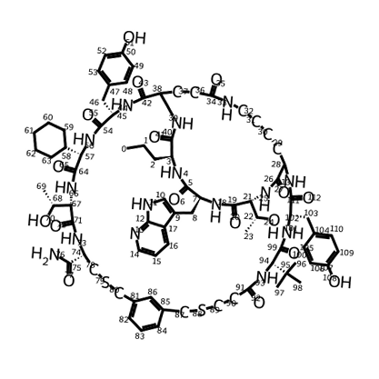 CCC[C@@H]1NC(=O)[C@H](Cc2c[nH]c3ncccc23)NC(=O)[C@@H]([C@@H](C)O)NC(=O)C2CCCCNC(=O)CCC(NC1=O)C(=O)N[C@@H](Cc1ccc(O)cc1)C(=O)N[C@@H](C1CCCCC1)C(=O)N[C@@H]([C@@H](C)O)C(=O)N[C@@H](C(N)=O)CSCc1cccc(c1)CSCCC(=O)N[C@@H](C(C)(C)C)C(=O)N[C@@H](Cc1ccc(O)cc1)C(=O)N2